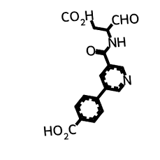 O=CC(CC(=O)O)NC(=O)c1cncc(-c2ccc(C(=O)O)cc2)c1